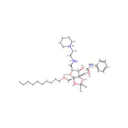 CCCCCCCCCCOC[C@@]12O[C@@H](CNCCN3CCCCC3)[C@@H](OC(=O)Nc3ccccc3)[C@@H]1OC(C)(C)O2